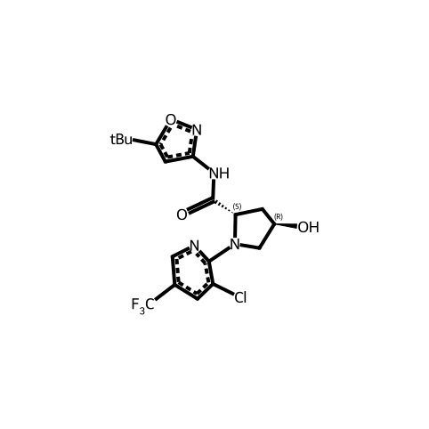 CC(C)(C)c1cc(NC(=O)[C@@H]2C[C@@H](O)CN2c2ncc(C(F)(F)F)cc2Cl)no1